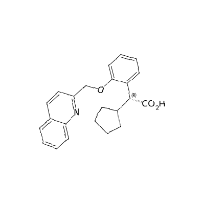 O=C(O)[C@@H](c1ccccc1OCc1ccc2ccccc2n1)C1CCCC1